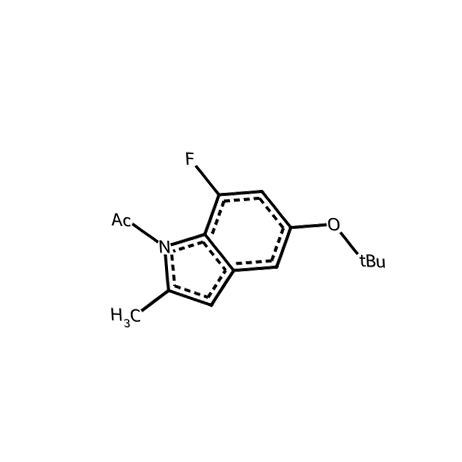 CC(=O)n1c(C)cc2cc(OC(C)(C)C)cc(F)c21